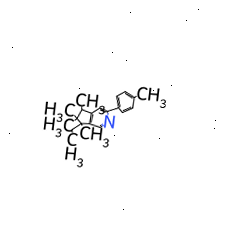 CCC1(C)c2cnc(-c3ccc(C)cc3)cc2C(C)C1(C)C